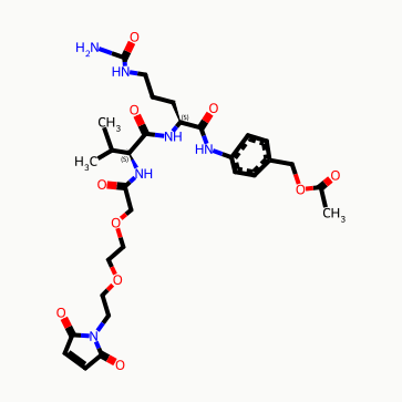 CC(=O)OCc1ccc(NC(=O)[C@H](CCCNC(N)=O)NC(=O)[C@@H](NC(=O)COCCOCCN2C(=O)C=CC2=O)C(C)C)cc1